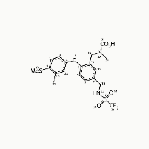 CSc1ccc(Oc2ccc(CNS(=O)(=O)C(F)(F)F)cc2CN(C)C(=O)O)cc1C